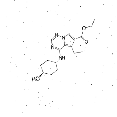 CCOC(=O)c1cn2ncnc(N[C@H]3CC[C@H](O)CC3)c2c1CC